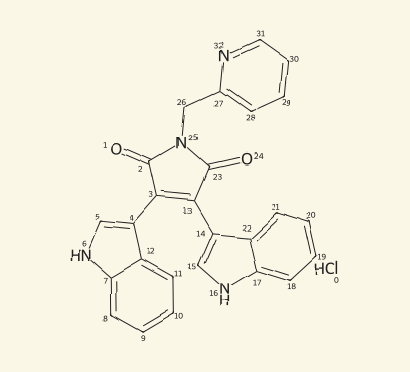 Cl.O=C1C(c2c[nH]c3ccccc23)=C(c2c[nH]c3ccccc23)C(=O)N1Cc1ccccn1